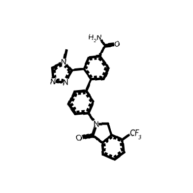 Cn1cnnc1-c1cc(C(N)=O)ccc1-c1cccc(N2Cc3c(cccc3C(F)(F)F)C2=O)c1